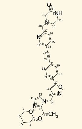 CC(OC1CCCCO1)c1nccn1Cc1cc(-c2ccc(C#Cc3ccc(CN4CCNC(=O)C4)nc3)cc2)on1